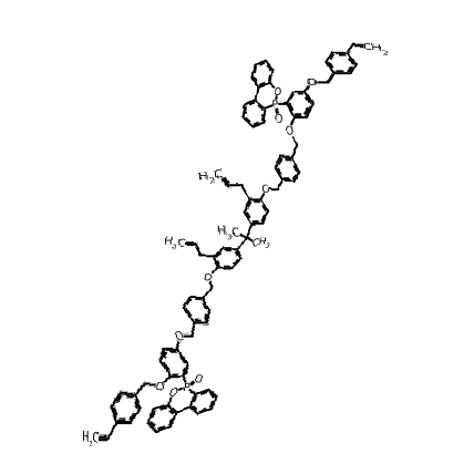 C=CCc1cc(C(C)(C)c2ccc(OCc3ccc(COc4ccc(OCc5ccc(C=C)cc5)cc4P4(=O)Oc5ccccc5-c5ccccc54)cc3)c(CC=C)c2)ccc1OCc1ccc(COc2ccc(OCc3ccc(C=C)cc3)c(P3(=O)Oc4ccccc4-c4ccccc43)c2)cc1